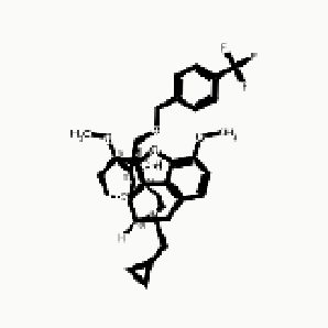 COc1ccc2c3c1O[C@H]1[C@@]4(OC)CC[C@@]5(C[C@@H]4COCc4ccc(C(F)(F)F)cc4)[C@@H](C2)N(CC2CC2)CC[C@]315